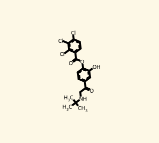 CC(C)(C)NCC(=O)c1ccc(OC(=O)c2ccc(Cl)c(Cl)c2Cl)c(O)c1